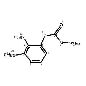 CCCCCCOC(=O)Oc1cccc(CCCCCC)c1CCCCCC